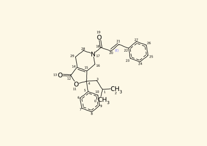 CC(C)CC1(c2ccccc2)OC(=O)C2=C1CN(C(=O)/C=C/c1ccccc1)CC2